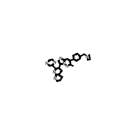 Cc1nn2c(-c3cc4cccnc4nc3-c3cnccn3)cnc2cc1-c1ccc(CN2CCC2)cc1